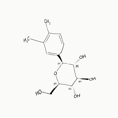 Cc1ccc([C@@H]2O[C@H](CO)[C@@H](O)[C@H](O)[C@H]2O)cc1C